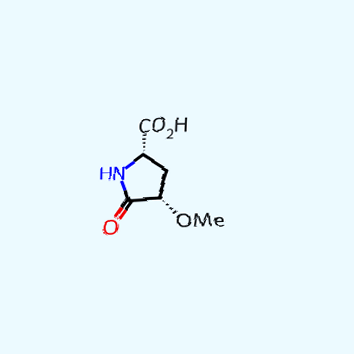 CO[C@H]1C[C@@H](C(=O)O)NC1=O